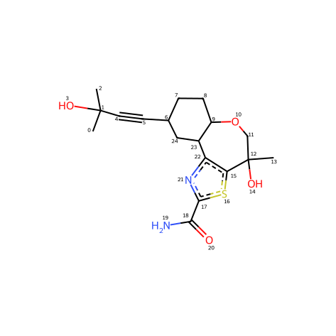 CC(C)(O)C#CC1CCC2OCC(C)(O)c3sc(C(N)=O)nc3C2C1